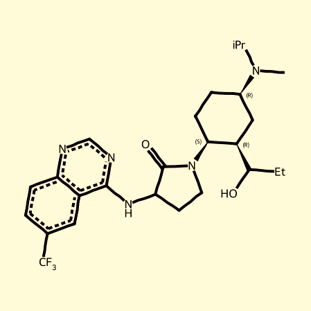 CCC(O)[C@@H]1C[C@H](N(C)C(C)C)CC[C@@H]1N1CCC(Nc2ncnc3ccc(C(F)(F)F)cc23)C1=O